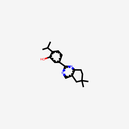 CC(C)c1ccc(-c2ncc3c(n2)CCC(C)(C)C3)cc1O